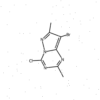 Cc1nc(Cl)n2nc(C)c(Br)c2n1